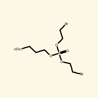 CCCCCCCCCCCOP(=O)(OCCBr)OCCBr